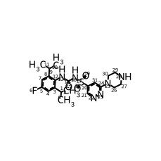 CC(C)c1cc(F)cc(C(C)C)c1NC(=O)NS(=O)(=O)c1cnnc(N2CCNCC2)c1